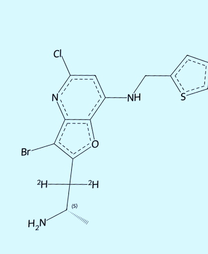 [2H]C([2H])(c1oc2c(NCc3cccs3)cc(Cl)nc2c1Br)[C@H](C)N